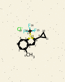 Cc1cccc2c1cc(C1CC1)[s+]2C(F)(F)F.[Cl-]